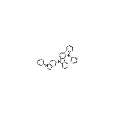 C1=CCC2C(=C1)c1ccc3c(c1N2c1ccccc1)c1ccccc1n3-c1ccc2c(ccn2-c2ccccc2)c1